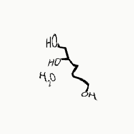 O.OCCCC(O)CO